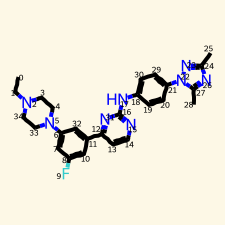 CCN1CCN(c2cc(F)cc(-c3ccnc(Nc4ccc(-n5nc(C)nc5C)cc4)n3)c2)CC1